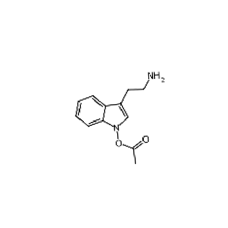 CC(=O)On1cc(CCN)c2ccccc21